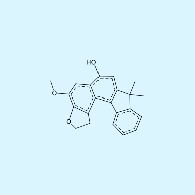 COc1cc2c(O)cc3c(c2c2c1OCC2)-c1ccccc1C3(C)C